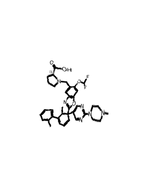 Cc1ccccc1C1=CC=CC(c2cnc(N3CCN(C)CC3)nc2)(c2nc3cc(CN4CCC[C@H]4C(=O)O)c(OC(F)F)cc3o2)C1C